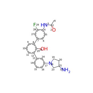 CC(=O)Nc1ccc(-c2cccc(-c3cccc(N4CCC(N)C4)c3)c2O)cc1F